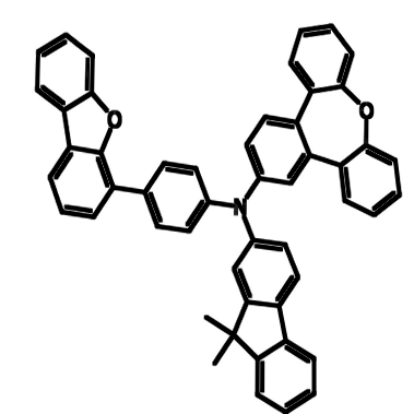 CC1(C)c2ccccc2-c2ccc(N(c3ccc(-c4cccc5c4oc4ccccc45)cc3)c3ccc4c(c3)-c3ccccc3Oc3ccccc3-4)cc21